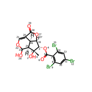 C[C@]1(O)[C@@H](OC(=O)c2c(Br)cc(Br)cc2Br)[C@H]2OC(=O)C3=COC(O)[C@H]1[C@@H]32